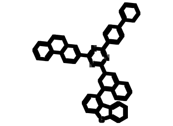 C1=CCCC(c2ccc(-c3nc(C4=CC5C=Cc6ccccc6C5C=C4)nc(C4C=c5ccccc5=C(c5cccc6oc7ccccc7c56)C4)n3)cc2)=C1